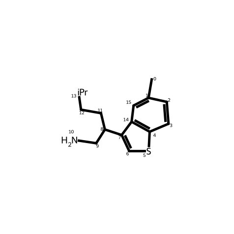 Cc1ccc2scc(C(CN)CCC(C)C)c2c1